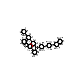 c1ccc(-c2ccc(-c3ccc(N(c4ccc(-c5ccc(-c6ccc7ccccc7c6)cc5)cc4)c4ccccc4-c4ccc5c(c4)sc4ccccc45)cc3)cc2)cc1